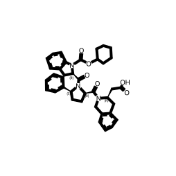 O=C(O)C[C@H]1Cc2ccccc2CN1C(=O)[C@H]1CC[C@@H](c2ccccc2)N1C(=O)[C@H]1Cc2ccccc2N1C(=O)OC1CCCCC1